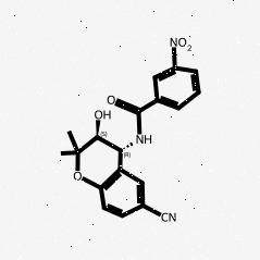 CC1(C)Oc2ccc(C#N)cc2[C@@H](NC(=O)c2cccc([N+](=O)[O-])c2)[C@@H]1O